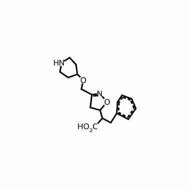 O=C(O)C(Cc1ccccc1)C1CC(COC2CCNCC2)=NO1